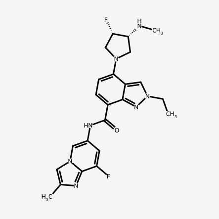 CCn1cc2c(N3C[C@H](F)[C@H](NC)C3)ccc(C(=O)Nc3cc(F)c4nc(C)cn4c3)c2n1